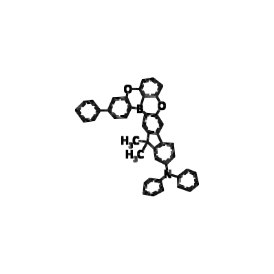 CC1(C)c2cc(N(c3ccccc3)c3ccccc3)ccc2-c2cc3c(cc21)B1c2ccc(-c4ccccc4)cc2Oc2cccc(c21)O3